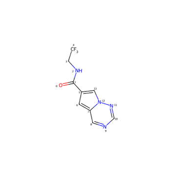 O=C(NCC(F)(F)F)c1cc2cncnn2c1